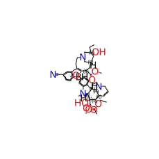 CC[C@]1(O)C[C@H]2CN(CCC3=C(Bc4ccc(C#N)cc43)[C@@](C(=O)OC)(c3cc4c(cc3OC)N(C)[C@H]3[C@@](O)(C(=O)OC)[C@H](OC(C)=O)[C@]5(CC)C=CCN6CC[C@]43[C@@H]65)C2)C1